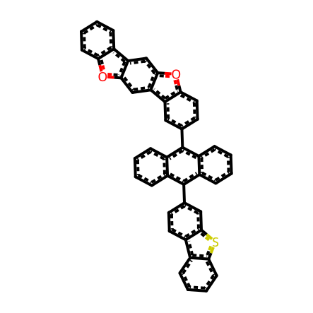 c1ccc2c(c1)oc1cc3c(cc12)oc1ccc(-c2c4ccccc4c(-c4ccc5c(c4)sc4ccccc45)c4ccccc24)cc13